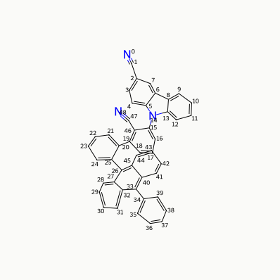 N#Cc1ccc2c(c1)c1ccccc1n2-c1cccc(-c2ccccc2-c2c3ccccc3c(-c3ccccc3)c3ccccc23)c1C#N